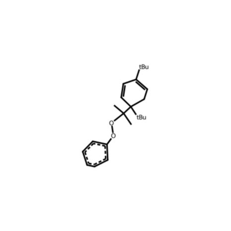 CC(C)(C)C1=CCC(C(C)(C)C)(C(C)(C)OOc2ccccc2)C=C1